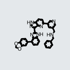 c1ccc(CNCc2cncc(-c3ccc4[nH]nc(-c5nc6c(-c7ccc8c(c7)OCO8)cccc6[nH]5)c4n3)c2)cc1